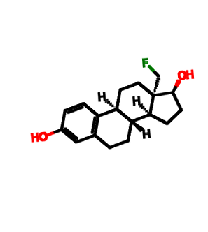 Oc1ccc2c(c1)CC[C@@H]1[C@@H]2CC[C@@]2(CF)[C@@H](O)CC[C@@H]12